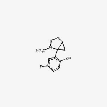 O=C(O)N1CCC2CC21c1cc(F)ccc1O